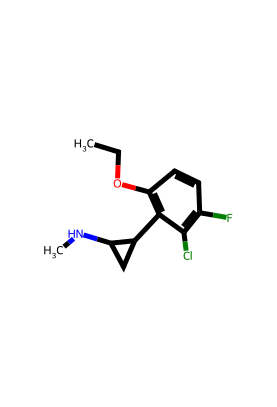 CCOc1ccc(F)c(Cl)c1C1CC1NC